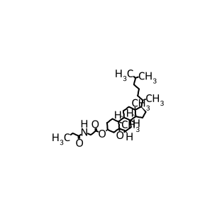 CCC(=O)NCC(=O)O[C@H]1CC[C@]2(C)[C@H]3CC[C@]4(C)[C@@H]([C@H](C)CCCC(C)C)CC[C@H]4[C@@H]3C[C@H]3OC32C1